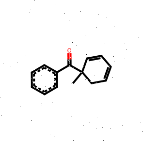 [CH2]C1(C(=O)c2ccccc2)C=CC=CC1